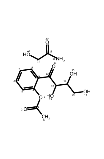 CC(=O)Oc1ccccc1C(=O)C(O)C(O)CO.NC(=O)CO